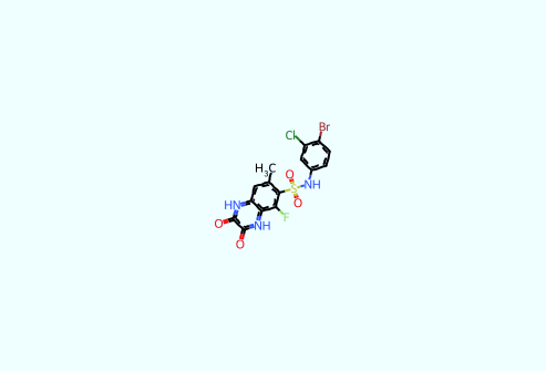 Cc1cc2[nH]c(=O)c(=O)[nH]c2c(F)c1S(=O)(=O)Nc1ccc(Br)c(Cl)c1